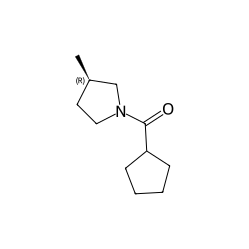 C[C@@H]1CCN(C(=O)C2CCCC2)C1